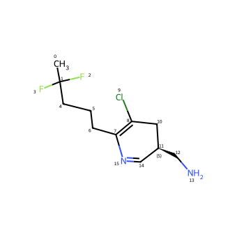 CC(F)(F)CCCC1=C(Cl)C[C@@H](CN)C=N1